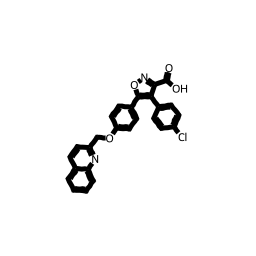 O=C(O)c1noc(-c2ccc(OCc3ccc4ccccc4n3)cc2)c1-c1ccc(Cl)cc1